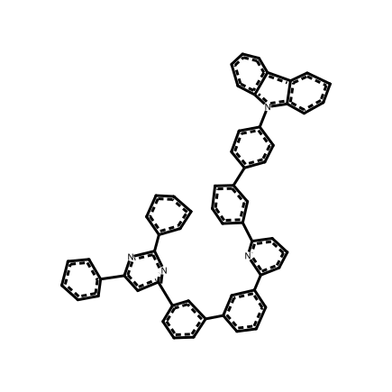 c1ccc(-c2cc(-c3cccc(-c4cccc(-c5cccc(-c6cccc(-c7ccc(-n8c9ccccc9c9ccccc98)cc7)c6)n5)c4)c3)nc(-c3ccccc3)n2)cc1